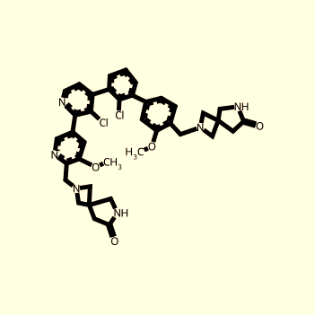 COc1cc(-c2cccc(-c3ccnc(-c4cnc(CN5CC6(CNC(=O)C6)C5)c(OC)c4)c3Cl)c2Cl)ccc1CN1CC2(CNC(=O)C2)C1